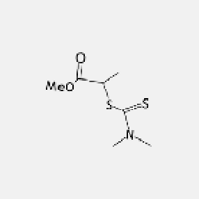 COC(=O)C(C)SC(=S)N(C)C